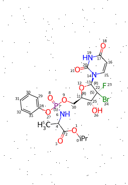 CC(C)OC(=O)C(C)N[P@](=O)(OC[C@H]1O[C@@H](n2ccc(=O)[nH]c2=O)[C@@](F)(Br)[C@@H]1O)Oc1ccccc1